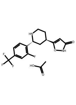 CC(=O)O.O=c1cc([C@@H]2CCN[C@@H](c3ccc(C(F)(F)F)cc3F)C2)o[nH]1